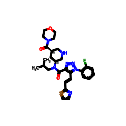 CC(C)CN(C(=O)c1nnn(-c2ccccc2F)c1C=Cc1nccs1)[C@@H]1CNC[C@H](C(=O)N2CCOCC2)C1